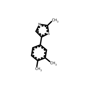 Cc1ncc(-c2ccc(C)c(C)c2)s1